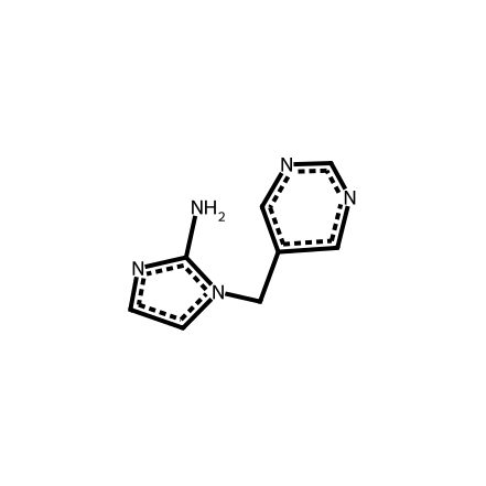 Nc1nccn1Cc1cncnc1